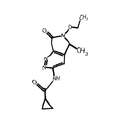 CCON1C(=O)c2nnc(NC(=O)C3CC3)cc2C1C